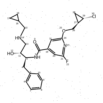 O=C(N[C@@H](Cc1ccccc1)[C@H](O)CNCC1CC1)c1cc(F)nc(OC[C@H]2C[C@@H]2Cl)c1